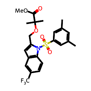 COC(=O)C(C)(C)OCc1cc2cc(C(F)(F)F)ccc2n1S(=O)(=O)c1cc(C)cc(C)c1